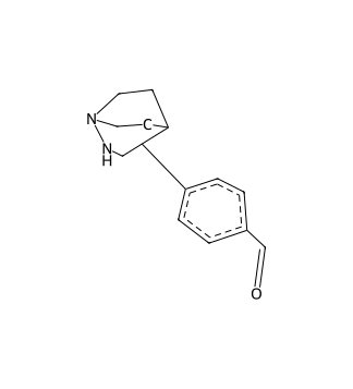 O=Cc1ccc(C2CNN3CCC2CC3)cc1